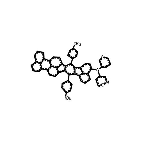 CC(C)(C)c1ccc(-c2c3c4cccc5c(N(c6cccnc6)c6cccnc6)ccc(c3c(-c3ccc(C(C)(C)C)cc3)c3c6ccc7c8cccc9cccc(c%10ccc(c23)c6c%107)c98)c54)cc1